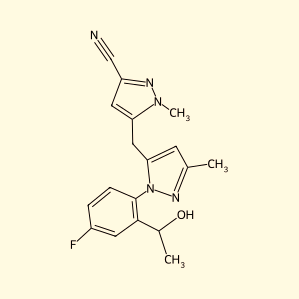 Cc1cc(Cc2cc(C#N)nn2C)n(-c2ccc(F)cc2C(C)O)n1